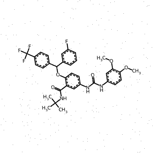 COc1ccc(NC(=O)Nc2ccc(OC(c3ccc(C(F)(F)F)cc3)c3cccc(F)c3)c(C(=O)NC(C)(C)C)c2)cc1OC